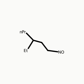 CCCC(CC)CCN=O